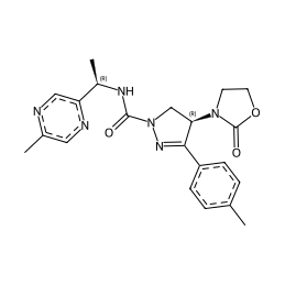 Cc1ccc(C2=NN(C(=O)N[C@H](C)c3cnc(C)cn3)C[C@H]2N2CCOC2=O)cc1